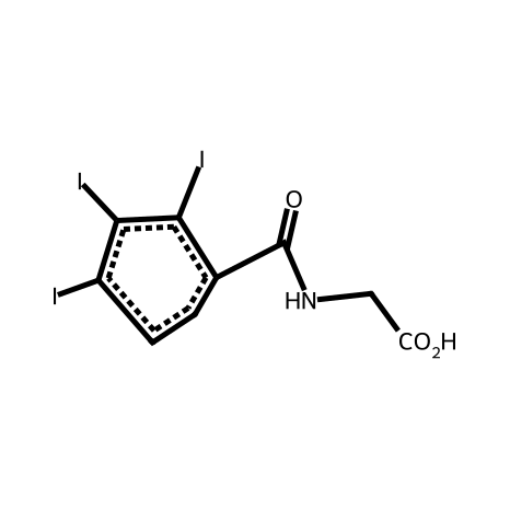 O=C(O)CNC(=O)c1ccc(I)c(I)c1I